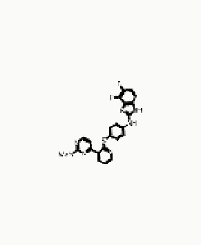 CNc1nccc(-c2cccnc2Sc2ccc(Nc3nc4c(F)c(F)ccc4[nH]3)cc2)n1